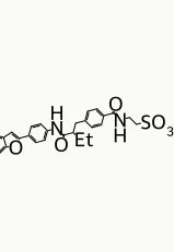 CCC(Cc1ccc(C(=O)NCCS(=O)(=O)O)cc1)C(=O)Nc1ccc(-c2cc3ccccc3o2)cc1